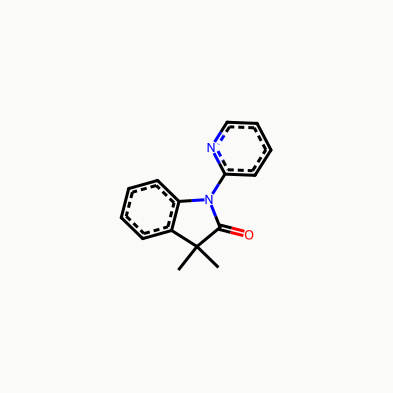 CC1(C)C(=O)N(c2ccccn2)c2ccccc21